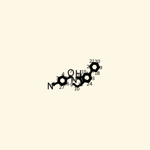 N#Cc1ccc(C(=O)N2CCC3C[C@@H]2c2cc(-c4ccccc4)ccc23)cc1